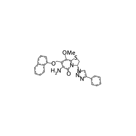 COc1c(COc2cccc3ccccc23)c(N)c(=O)n2c1SC[C@H]2n1cc(-c2ccccc2)nn1